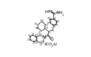 N=C(N)c1ccc(C[C@@H](C(=O)N2Cc3ccccc3C[C@H]2C(=O)O)C2CCCCC2)cc1